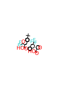 CC(C)(C)c1ccc2c(c1)OC(C(F)(F)F)C(C(=O)O)=C2.FC(F)(F)C1=Cc2ccccc2CC1.O=C(O)C1=CC=COC1